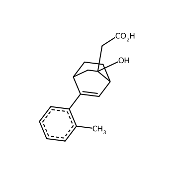 Cc1ccccc1C1=CC2CCC1CC2(O)CC(=O)O